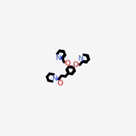 O=C(CCc1ccc(OCc2ccccn2)c(OCc2ccccn2)c1)N1CCCCC1